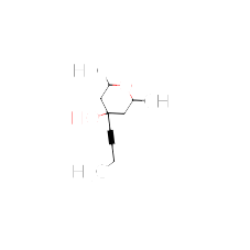 CCC#CC1(O)CC(C)OC(C)C1